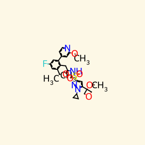 COc1cc(-c2cc(F)cc(C(C)C)c2CC(=O)NS(=O)(=O)c2cc(C3(OC)COC3)n(C3CC3)n2)ccn1